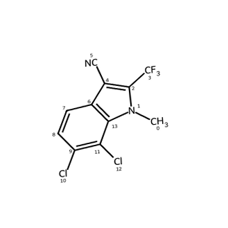 Cn1c(C(F)(F)F)c(C#N)c2ccc(Cl)c(Cl)c21